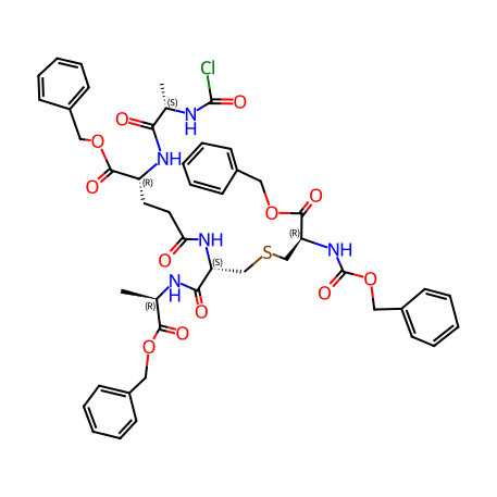 C[C@H](NC(=O)Cl)C(=O)N[C@H](CCC(=O)N[C@H](CSC[C@H](NC(=O)OCc1ccccc1)C(=O)OCc1ccccc1)C(=O)N[C@H](C)C(=O)OCc1ccccc1)C(=O)OCc1ccccc1